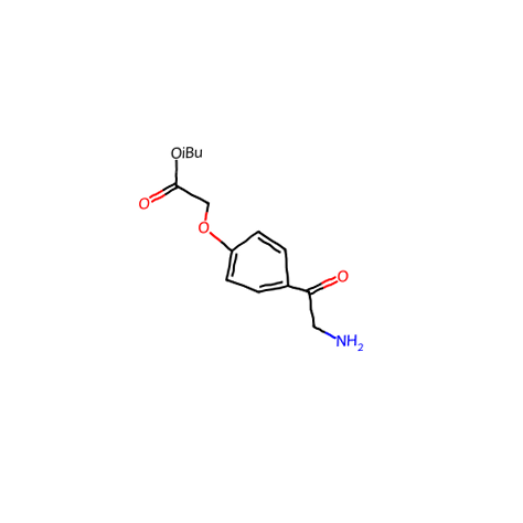 CC(C)COC(=O)COc1ccc(C(=O)CN)cc1